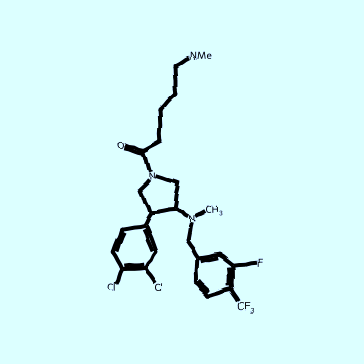 CNCCCCC(=O)N1CC(c2ccc(Cl)c(Cl)c2)C(N(C)Cc2ccc(C(F)(F)F)c(F)c2)C1